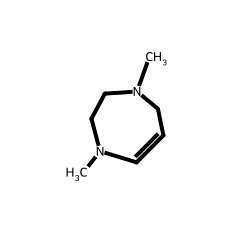 CN1C=CCN(C)CC1